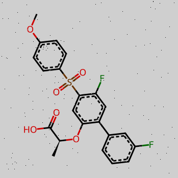 COc1ccc(S(=O)(=O)c2cc(O[C@@H](C)C(=O)O)c(-c3cccc(F)c3)cc2F)cc1